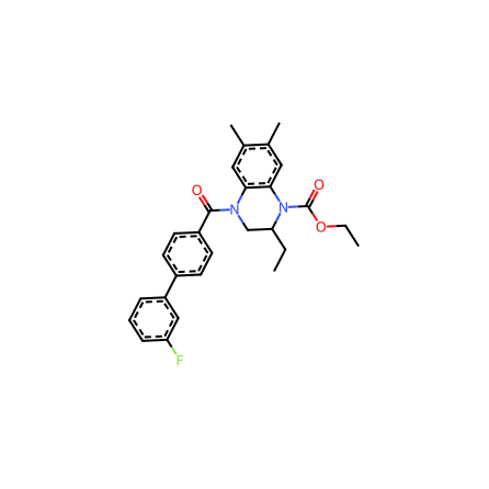 CCOC(=O)N1c2cc(C)c(C)cc2N(C(=O)c2ccc(-c3cccc(F)c3)cc2)CC1CC